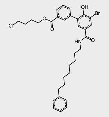 O=C(NCCCCCCCCc1ccccc1)c1cc(Br)c(O)c(-c2cccc(C(=O)OCCCCCl)c2)c1